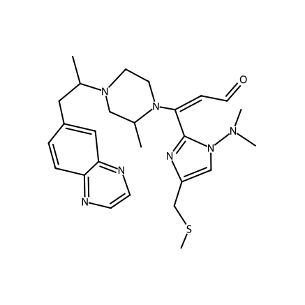 CSCc1cn(N(C)C)c(/C(=C\C=O)N2CCN(C(C)Cc3ccc4nccnc4c3)CC2C)n1